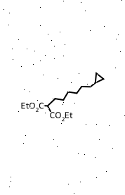 CCOC(=O)C(CCCCCCC1CC1)C(=O)OCC